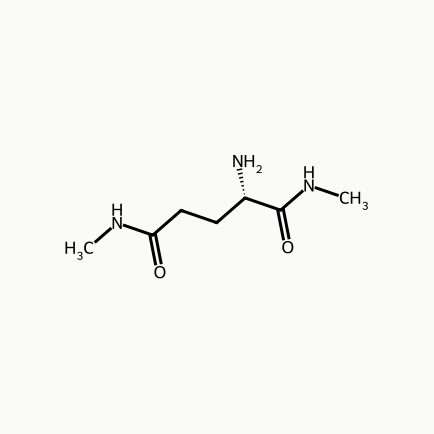 CNC(=O)CC[C@H](N)C(=O)NC